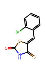 O=C1NC(=S)C(=Cc2ccccc2Br)S1